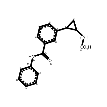 O=C(O)NC1CC1c1cccc(C(=O)Nc2ccccc2)c1